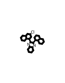 Clc1cc(-c2nc3ccccc3nc2-c2cccc3ccccc23)c2ccccc2c1